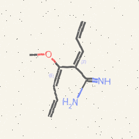 C=C/C=C(C(=N)N)\C(=C/C=C)OC